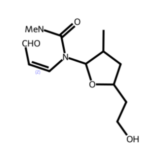 CNC(=O)N(/C=C\C=O)C1OC(CCO)CC1C